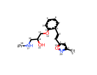 CCc1cc(C=Cc2ccccc2OCC(O)CNC(C)C)on1